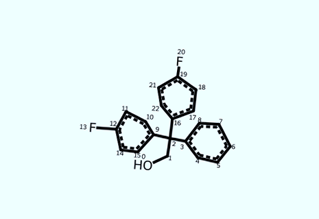 OCC(c1ccccc1)(c1ccc(F)cc1)c1ccc(F)cc1